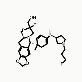 C[C@@H]1Cc2cc3c(cc2[C@@H](C2(C)C=CC(N[C@H]4CCN(CCCF)C4)=CC2)N1CC(F)(F)CO)OCO3